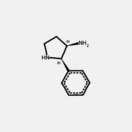 N[C@@H]1CCN[C@@H]1c1ccccc1